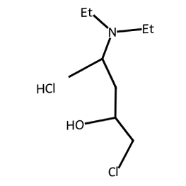 CCN(CC)C(C)CC(O)CCl.Cl